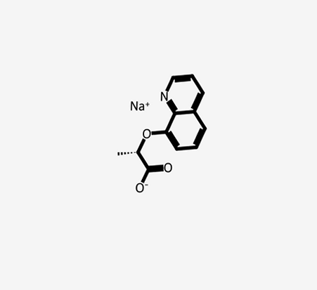 C[C@H](Oc1cccc2cccnc12)C(=O)[O-].[Na+]